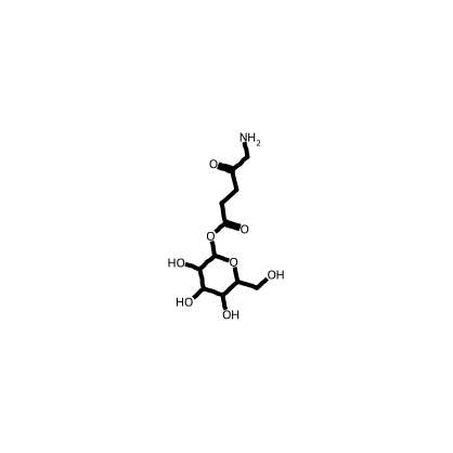 NCC(=O)CCC(=O)OC1OC(CO)C(O)C(O)C1O